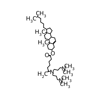 C=C(CCCCC(=O)OC1CCC2(C)C(=CCC3C2CCC2(C)C(CCCCC(C)C)CCC32)C1)N(CCCN(C)C)CCCN(C)C